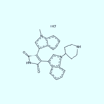 Cl.Cn1cc(C2=C(c3cn(C4CCNCC4)c4ccccc34)C(=O)NC2=O)c2ccccc21